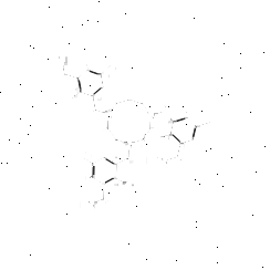 Cc1cc(CN)c(O)c(CN2CCCN(Cc3cc(C)cc(CN)c3O)CCN(Cc3cc(C)cc(CN)c3O)CC2)c1